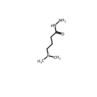 CN(C)CCCC(=O)NN